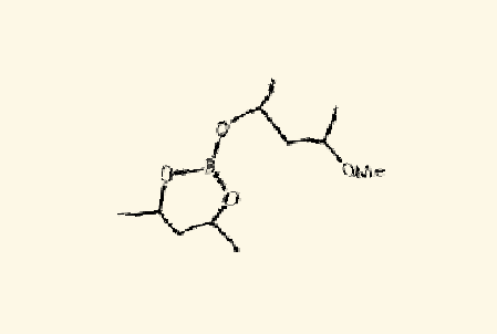 COC(C)CC(C)OB1OC(C)CC(C)O1